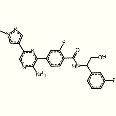 Cn1cc(-c2cnc(N)c(-c3ccc(C(=O)NC(CO)c4cccc(F)c4)c(F)c3)n2)cn1